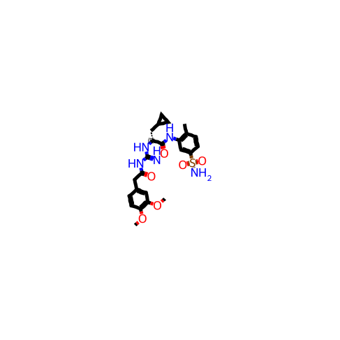 COc1ccc(CC(=O)NC(=N)N[C@H](CC2CC2)C(=O)Nc2cc(S(N)(=O)=O)ccc2C)cc1OC